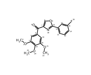 COc1cc(C(=O)c2coc(-c3cccc(F)c3)n2)cc(OC)c1OC